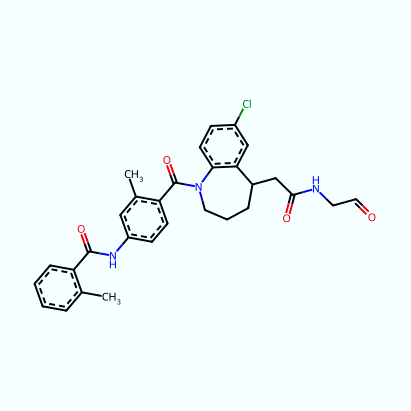 Cc1ccccc1C(=O)Nc1ccc(C(=O)N2CCCC(CC(=O)NCC=O)c3cc(Cl)ccc32)c(C)c1